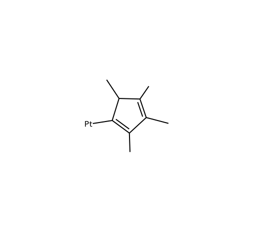 CC1=C(C)C(C)[C]([Pt])=C1C